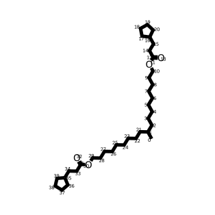 CC(CCCCCCCCCOC(=O)CCC1CCCC1)CCCCCCCCCOC(=O)CCC1CCCC1